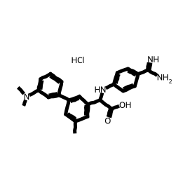 Cc1cc(-c2cccc(N(C)C)c2)cc(C(Nc2ccc(C(=N)N)cc2)C(=O)O)c1.Cl